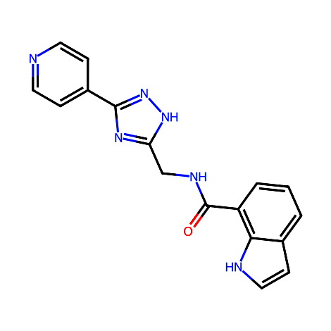 O=C(NCc1nc(-c2ccncc2)n[nH]1)c1cccc2cc[nH]c12